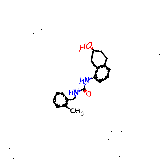 Cc1ccccc1CNC(=O)Nc1cccc2c1CC(O)CC2